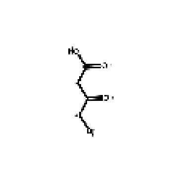 O=C(O)CC(=O)CBr